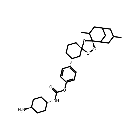 CC1CC2CC(C)[C@]3(OO[C@@]4(CCC[C@@H](c5ccc(OC(=O)N[C@H]6CC[C@H](N)CC6)cc5)C4)O3)C(C1)C2